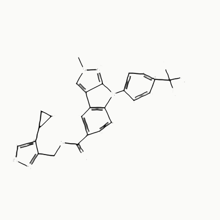 Cn1cc2c3cc(C(=O)NCc4n[nH]cc4C4CC4)ccc3n(-c3ccc(C(C)(F)F)cc3)c2n1